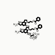 C[C@@H](N)Cc1cc(C#N)c2c(c1)CCN2CCCOC(=O)c1ccccc1.C[C@@H](N)Cc1cc(C#N)c2c(c1)CCN2CCCOC(=O)c1ccccc1.O=C(O)C(O)C(O)C(=O)O